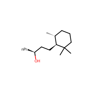 CCC[C@H](O)CC[C@H]1[C@H](C)CCCC1(C)C